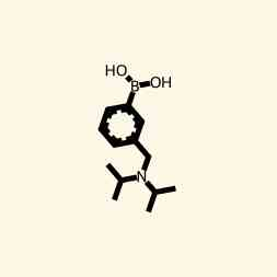 CC(C)N(Cc1cccc(B(O)O)c1)C(C)C